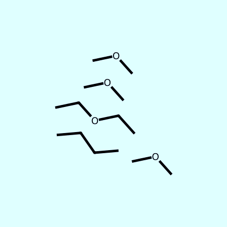 CCCC.CCOCC.COC.COC.COC